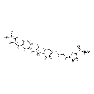 CNC(=O)c1cn(CCCCc2ccc(NC(=O)Cc3cncc(OC4CC(F)(F)C4)c3)nn2)nn1